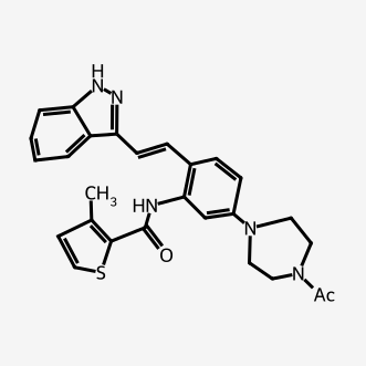 CC(=O)N1CCN(c2ccc(/C=C/c3n[nH]c4ccccc34)c(NC(=O)c3sccc3C)c2)CC1